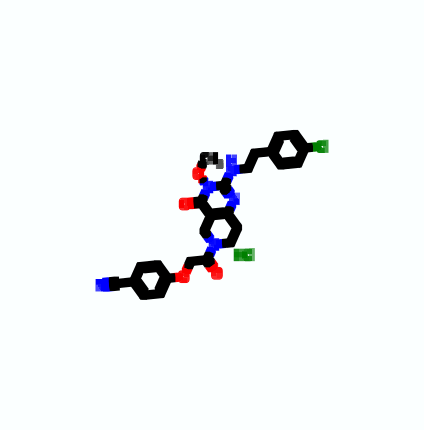 COn1c(NCCc2ccc(Cl)cc2)nc2c(c1=O)CN(C(=O)COc1ccc(C#N)cc1)CC2.Cl